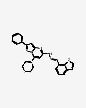 C(=NNc1cc(N2CCOCC2)n2nc(-c3ccccc3)cc2n1)c1cccc2cc[nH]c12